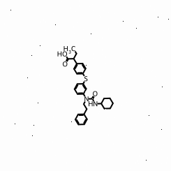 CCC(C(=O)O)c1ccc(Sc2cccc(N(CCc3ccccc3)C(=O)NC3CCCCC3)c2)cc1